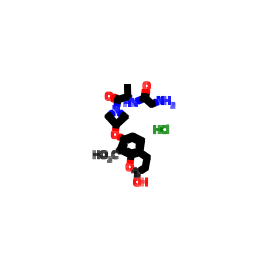 CC(NC(=O)CN)C(=O)N1CC(Oc2ccc3c(c2C(=O)O)OB(O)CC3)C1.Cl